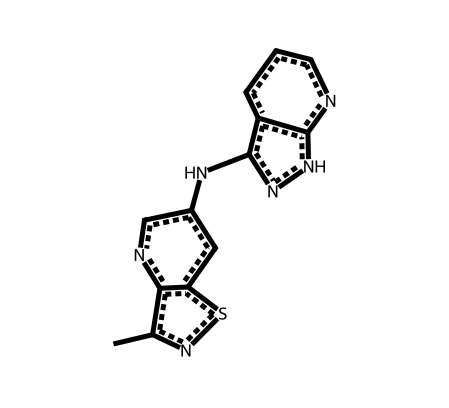 Cc1nsc2cc(Nc3n[nH]c4ncccc34)cnc12